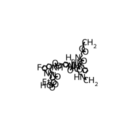 C=CCOC(=O)CCC(N)C(=O)N[C@@H](Cc1ccccc1)C(=O)N[C@@H](CCCCNC=C)C(=O)Nc1ccc(COC(=O)N[C@H]2CCc3cc(F)cc4nc5c(c2c34)Cn2c-5cc3c(c2=O)COC(=O)[C@]3(O)CC)cc1